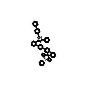 C1=C(c2ccccc2-c2ccc(-c3ccc4c(c3)C3(c5ccccc5-4)c4ccccc4N(c4ccccc4)c4ccccc43)cc2)N2C(c3ccc(-c4ccccc4)cc3)N2C1c1ccccc1